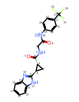 O=C(CNC(=O)[C@@H]1C[C@H]1c1nc2ccccc2[nH]1)Nc1ccc(C(F)(F)F)cc1